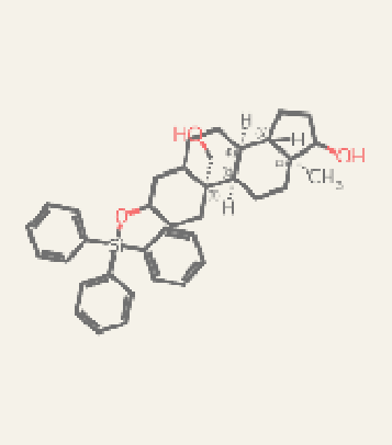 C[C@]12CC[C@@H]3[C@@H](CCC4CC(O[Si](c5ccccc5)(c5ccccc5)c5ccccc5)CC[C@@]43CO)[C@@H]1CCC2O